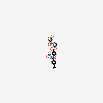 C[C@H](NC(=O)C(F)(F)F)[C@H](Oc1ccc(C(=O)O[C@H]2CCCN(C(=O)[C@H]3COC(=O)C3)C2)cc1)c1ccc(C2CC2)cc1